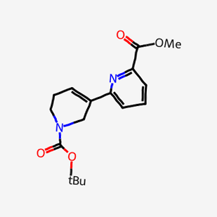 COC(=O)c1cccc(C2=CCCN(C(=O)OC(C)(C)C)C2)n1